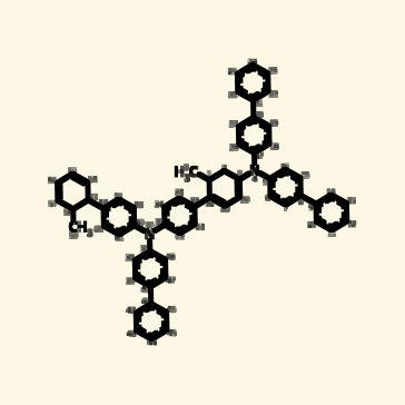 CC1CC(N(c2ccc(-c3ccccc3)cc2)c2ccc(-c3ccccc3)cc2)=CC=C1c1ccc(N(c2ccc(-c3ccccc3)cc2)c2ccc(C3C=CC=CC3C)cc2)cc1